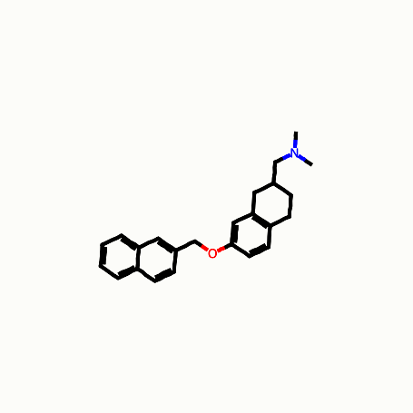 CN(C)CC1CCc2ccc(OCc3ccc4ccccc4c3)cc2C1